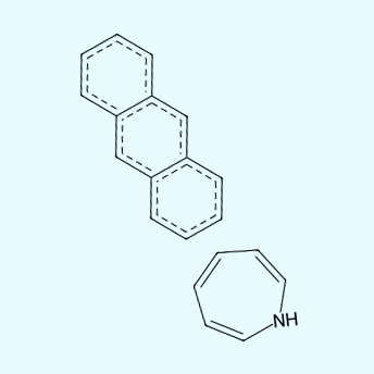 C1=CC=CNC=C1.c1ccc2cc3ccccc3cc2c1